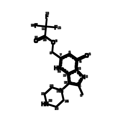 Cc1nn2c(=O)cc(COC(=O)C(F)(F)F)[nH]c2c1N1CCNCC1